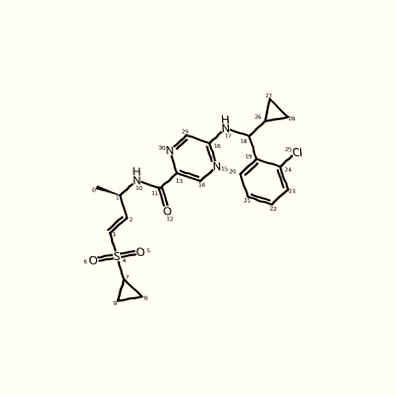 C[C@H](/C=C/S(=O)(=O)C1CC1)NC(=O)c1cnc(NC(c2ccccc2Cl)C2CC2)cn1